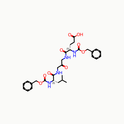 CC(C)C[C@H](NC(=O)OCc1ccccc1)C(=O)NCC(=O)CNC(=O)[C@H](CCC(=O)O)NC(=O)OCc1ccccc1